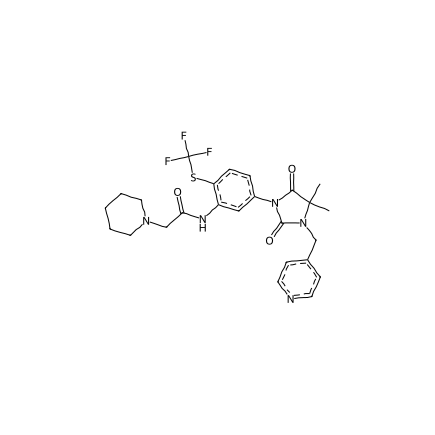 CC1(C)C(=O)N(c2ccc(SC(F)(F)F)c(NC(=O)CN3CCCCC3)c2)C(=O)N1Cc1ccncc1